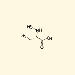 CC(=O)[C@H](CS)NS